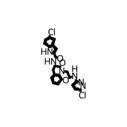 O=C(CN1C(=O)C(NC(=O)c2cc3cc(Cl)ccc3[nH]2)Cc2ccccc21)Nc1ccc(Cl)nn1